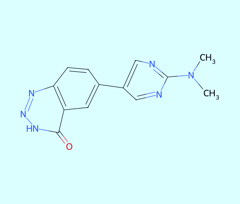 CN(C)c1ncc(-c2ccc3nn[nH]c(=O)c3c2)cn1